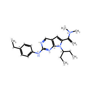 C=C(c1cc2cnc(Nc3ccc(CC)cc3)nc2n1C(CC)CC)N(C)C